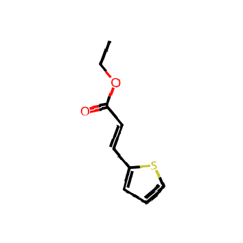 CCOC(=O)C=Cc1cccs1